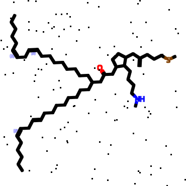 C=C(CCCSC)CC1CCC(CC(=O)CC(CCCCCCCCC=CC/C=C\CCCCC)CCCCCCCC/C=C\C/C=C\CCCCC)C1CCCCNC